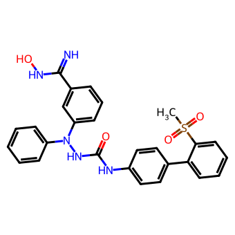 CS(=O)(=O)c1ccccc1-c1ccc(NC(=O)NN(c2ccccc2)c2cccc(C(=N)NO)c2)cc1